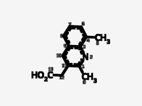 Cc1nc2c(C)cccc2cc1CC(=O)O